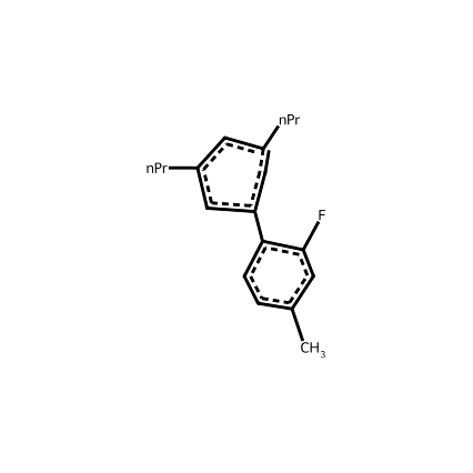 CCCc1cc(CCC)cc(-c2ccc(C)cc2F)c1